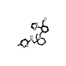 CCC1(CNc2ccc(C)nn2)CCCCN1Cc1cccc(C=O)c1-n1nccn1